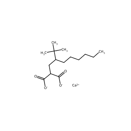 CCCCCCC(CC(C(=O)[O-])C(=O)[O-])C(C)(C)C.[Ca+2]